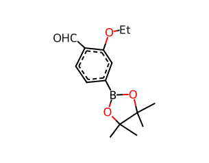 CCOc1cc(B2OC(C)(C)C(C)(C)O2)ccc1C=O